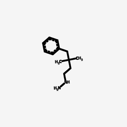 CC(C)(CCNN)Cc1ccccc1